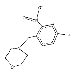 O=[N+]([O-])c1cc(I)ccc1CN1CCOCC1